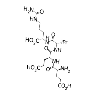 CC(C)[C@H](NC(=O)[C@H](CCC(=O)O)NC(=O)[C@@H](N)CCC(=O)O)C(=O)N[C@@H](CCCNC(N)=O)C(=O)O